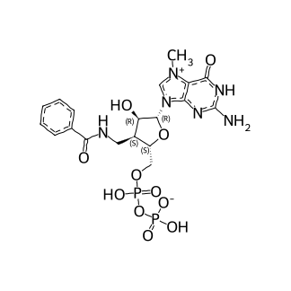 C[n+]1cn([C@@H]2O[C@H](COP(=O)(O)OP(=O)([O-])O)[C@@H](CNC(=O)c3ccccc3)[C@H]2O)c2nc(N)[nH]c(=O)c21